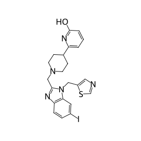 Oc1cccc(C2CCN(Cc3nc4ccc(I)cc4n3Cc3cncs3)CC2)n1